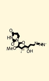 COC1[C@@H](C)[C@@H]([C@@H](O)CCN=[N+]=[N-])O[C@H]1n1ccc(=O)[nH]c1=O